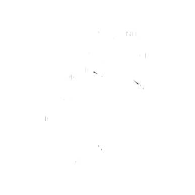 CN(C)c1c(Cl)cc(O)c2c1CC1CC3[C@H](N(C)C)C(O)=C(C(N)=O)C(=O)[C@@]3(O)C(O)=C1C2=O